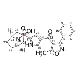 Cc1onc(-c2ccccc2)c1C(=O)c1c[nH]c(C(=O)N2[C@@H]3CC[C@H]2CC(O)C3)c1